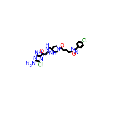 Nc1nc(N)c(C(=O)/C=C2\NCC3(CCN(C(=O)CCCc4nc(-c5ccc(Cl)cc5)no4)CC3)N2)nc1Cl